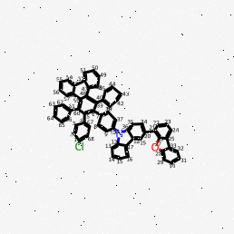 Clc1ccc(-c2c(-c3ccc(-n4c5ccccc5c5cc(-c6cccc7c6oc6ccccc67)ccc54)cc3)c(-c3ccccc3)c3c4ccccc4c4ccccc4c3c2-c2ccccc2)cc1